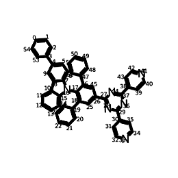 c1ccc(-c2ccc3c(c2)c2ccccc2n3-c2c(-c3ccccc3)cc(-c3nc(-c4ccncc4)nc(-c4ccncc4)n3)cc2-c2ccccc2)cc1